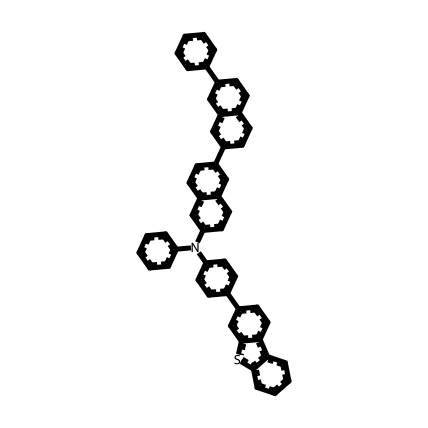 c1ccc(-c2ccc3ccc(-c4ccc5cc(N(c6ccccc6)c6ccc(-c7ccc8c(c7)sc7ccccc78)cc6)ccc5c4)cc3c2)cc1